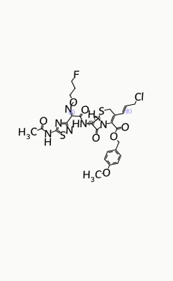 COc1ccc(COC(=O)C2=C(/C=C/CCl)CS[C@H]3[C@H](NC(=O)/C(=N\OCCCF)c4nsc(NC(C)=O)n4)C(=O)N23)cc1